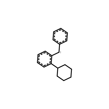 [C](c1ccccc1)c1ccccc1C1CCCCC1